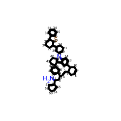 NC(CC(/C=C/C1CC=CCC1c1ccc2c(c1)c1c(n2C2=CCCC(C3CCC=C4c5ccccc5SC43)=C2)CCCC1)c1ccccc1)C1=CCCC=C1